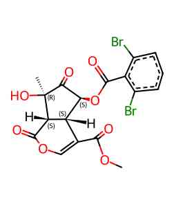 COC(=O)C1=COC(=O)[C@H]2[C@@H]1[C@H](OC(=O)c1c(Br)cccc1Br)C(=O)[C@]2(C)O